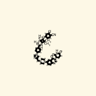 CC1(C)[C@H](NC(=O)c2ccc(-n3cc(CN4CCN(c5ccc6nnn(C7CCC(=O)NC7=O)c(=O)c6c5)CC4)nn3)cc2)C(C)(C)[C@H]1Oc1ccc(C#N)c(Cl)c1